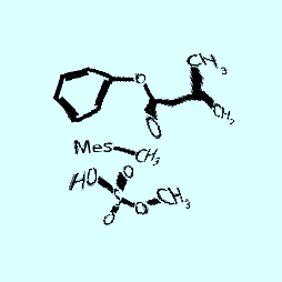 C=C(C)C(=O)Oc1ccccc1.COS(=O)(=O)O.CSC